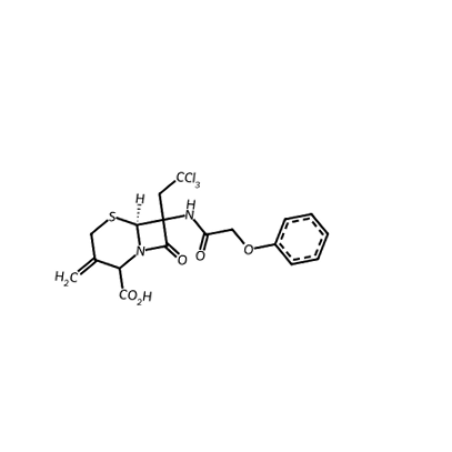 C=C1CS[C@@H]2N(C(=O)C2(CC(Cl)(Cl)Cl)NC(=O)COc2ccccc2)C1C(=O)O